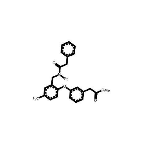 CCN(Cc1cc(C(F)(F)F)ccc1Oc1cccc(CC(=O)OC)c1)C(=O)Cc1ccccc1